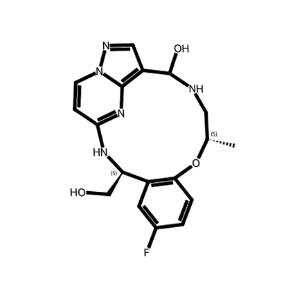 C[C@H]1CNC(O)c2cnn3ccc(nc23)N[C@H](CO)c2cc(F)ccc2O1